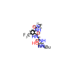 CCCC(O)C(CNC(C)CC)NC(=O)CNC(=O)c1cc(C(F)(F)F)ccc1NC(=O)N1CCC1